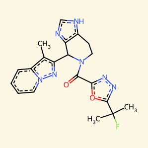 Cc1c(C2c3nc[nH]c3CCN2C(=O)c2nnc(C(C)(C)F)o2)nn2ccccc12